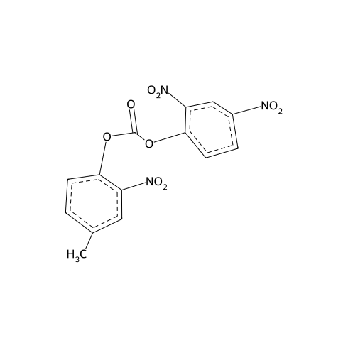 Cc1ccc(OC(=O)Oc2ccc([N+](=O)[O-])cc2[N+](=O)[O-])c([N+](=O)[O-])c1